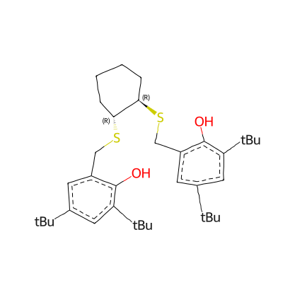 CC(C)(C)c1cc(CS[C@@H]2CCCC[C@H]2SCc2cc(C(C)(C)C)cc(C(C)(C)C)c2O)c(O)c(C(C)(C)C)c1